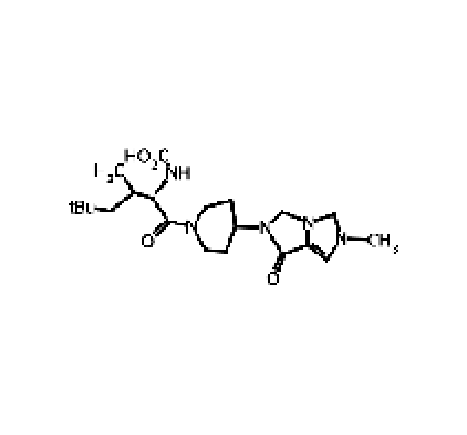 CC(CC(C)(C)C)[C@@H](NC(=O)O)C(=O)N1CCC(N2CN3CN(C)C=C3C2=O)CC1